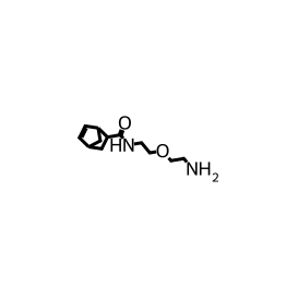 NCCOCCNC(=O)C1CC2C=CC1C2